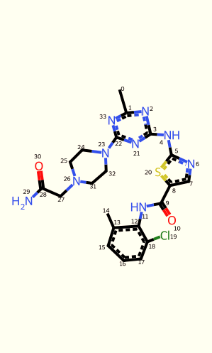 Cc1nc(Nc2ncc(C(=O)Nc3c(C)cccc3Cl)s2)nc(N2CCN(CC(N)=O)CC2)n1